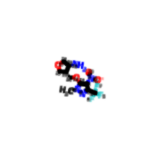 Cn1nc(C(F)(F)F)c([N+](=O)[O-])c1OC[C@@H]1COC[C@H]1N